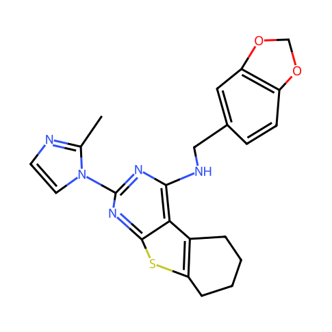 Cc1nccn1-c1nc(NCc2ccc3c(c2)OCO3)c2c3c(sc2n1)CCCC3